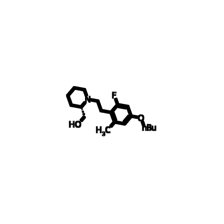 CCCCOc1cc(C)c(CCN2CCCC[C@H]2CO)c(F)c1